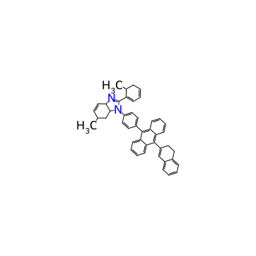 CC1C=CC2N=C(C3=CC=CCC3C)N(c3ccc(-c4c5ccccc5c(C5=Cc6ccccc6CC5)c5ccccc45)cc3)C2C1